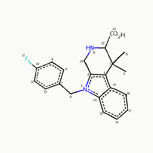 CC1(C)c2c(n(Cc3ccc(F)cc3)c3ccccc23)CNC1C(=O)O